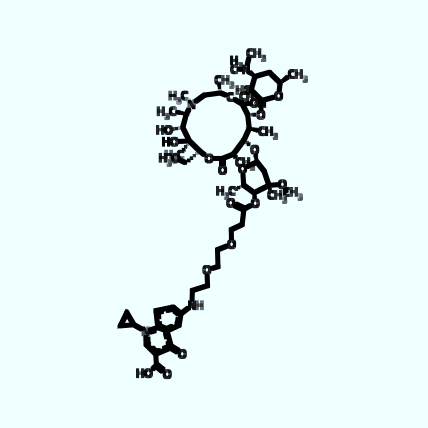 CC[C@H]1OC(=O)[C@H](C)[C@@H](O[C@H]2C[C@@](C)(OC)[C@@H](OC(=O)CCOCCOCCNc3ccc4c(c3)c(=O)c(C(=O)O)cn4C3CC3)[C@H](C)O2)[C@H](C)[C@@H](O[C@@H]2O[C@H](C)C[C@H](N(C)C)[C@H]2O)[C@](C)(O)C[C@@H](C)CN(C)[C@H](C)[C@@H](O)[C@]1(C)O